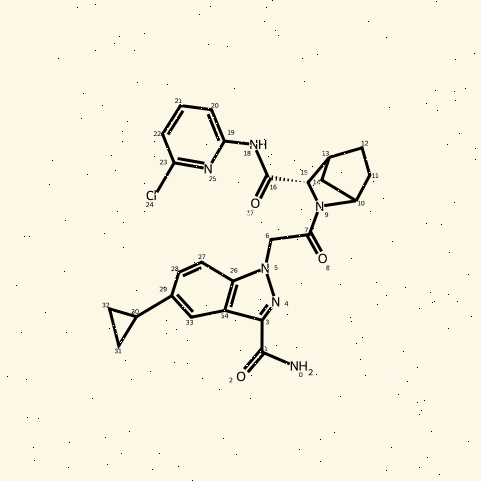 NC(=O)c1nn(CC(=O)N2C3CCC(C3)[C@H]2C(=O)Nc2cccc(Cl)n2)c2ccc(C3CC3)cc12